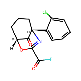 O=C(F)C1=N[C@@]2(c3ccccc3Cl)CCC[C@@H](O1)C2=O